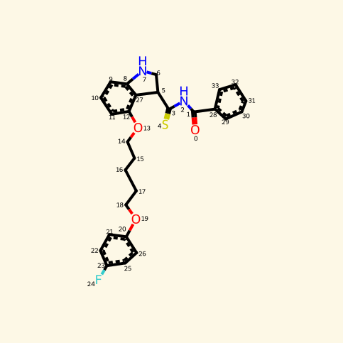 O=C(NC(=S)C1CNc2cccc(OCCCCCOc3ccc(F)cc3)c21)c1ccccc1